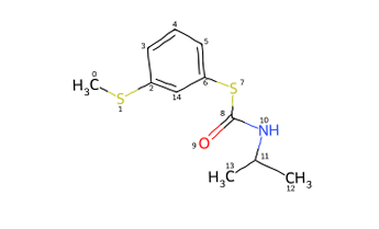 CSc1cccc(SC(=O)NC(C)C)c1